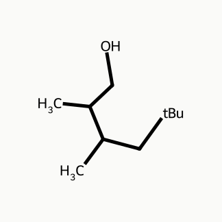 CC(CO)C(C)CC(C)(C)C